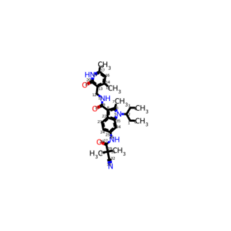 CCC(CC)n1c(C)c(C(=O)NCc2c(C)cc(C)[nH]c2=O)c2ccc(NC(=O)C(C)(C)C#N)cc21